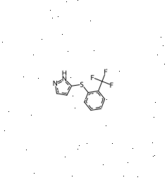 FC(F)(F)c1ccccc1Sc1ccn[nH]1